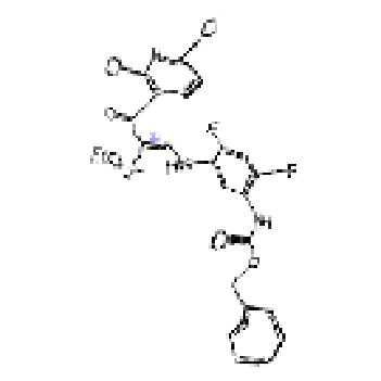 CCOC(=O)/C(=C\Nc1cc(NC(=O)OCc2ccccc2)c(F)cc1F)C(=O)c1ccc(Cl)nc1Cl